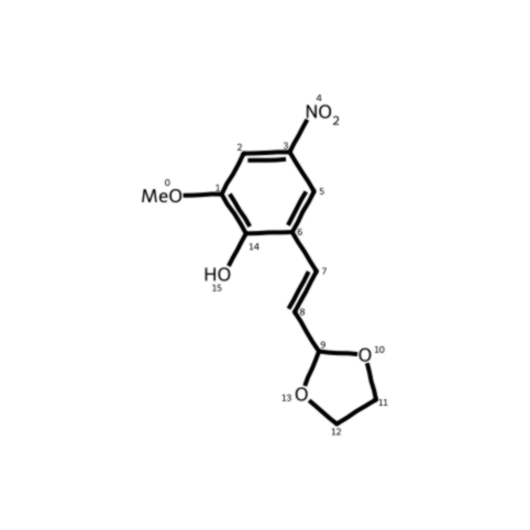 COc1cc([N+](=O)[O-])cc(/C=C/C2OCCO2)c1O